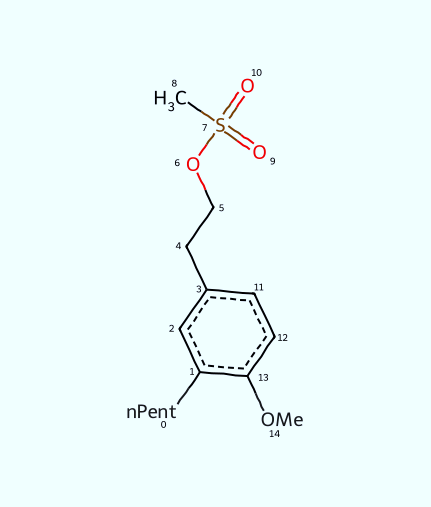 CCCCCc1cc(CCOS(C)(=O)=O)ccc1OC